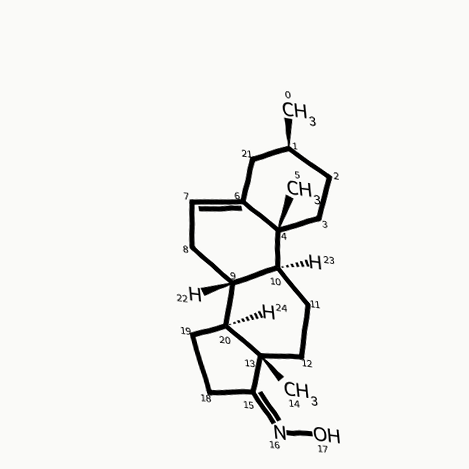 C[C@H]1CC[C@@]2(C)C(=CC[C@@H]3[C@@H]2CC[C@]2(C)/C(=N\O)CC[C@@H]32)C1